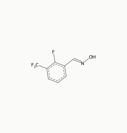 ON=Cc1cccc(C(F)(F)F)c1F